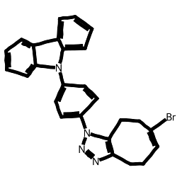 BrC1=CCCc2nnn(-c3ccc(-n4c5ccccc5c5ccccc54)cc3)c2CC1